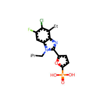 CCc1c(Cl)c(F)cc2c1nc(-c1ccc(P(=O)(O)O)o1)n2CC(C)C